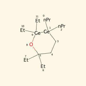 CC[CH2][Ge]1([CH2]CC)[CH2]CC(CC)(CC)[O][Ge]1([CH2]C)[CH2]C